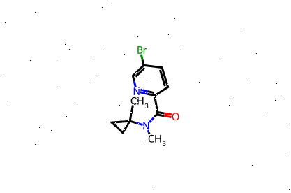 CN(C(=O)c1ccc(Br)cn1)C1(C)CC1